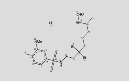 CC[N+](CC)(CCCC(C)NC=O)CCNS(=O)(=O)c1ccc(C)c(NC)c1.[Cl-]